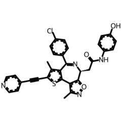 Cc1noc2c1-c1sc(C#Cc3ccncc3)c(C)c1C(c1ccc(Cl)cc1)=N[C@H]2CC(=O)Nc1ccc(O)cc1